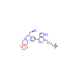 C[Si](C)(C)CCOCN1CN=C(c2cnn(C(CC#N)CN3CCC4(CC3)OCCO4)c2)c2cc[nH]c21